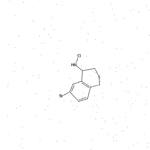 ClNC1CSCc2ccc(Br)cc21